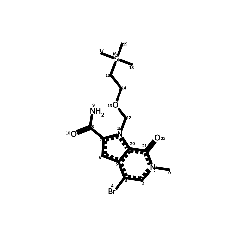 Cn1cc(Br)c2cc(C(N)=O)n(COCC[Si](C)(C)C)c2c1=O